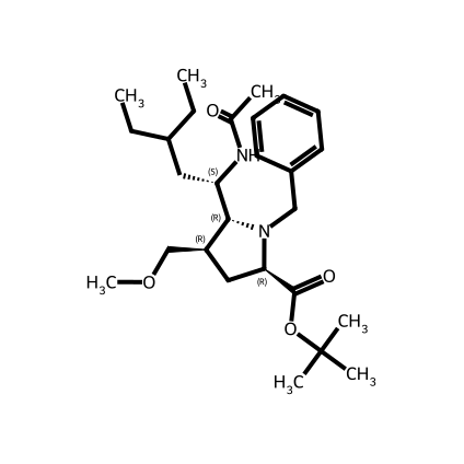 CCC(CC)C[C@H](NC(C)=O)[C@H]1[C@H](COC)C[C@H](C(=O)OC(C)(C)C)N1Cc1ccccc1